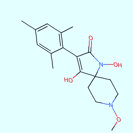 CON1CCC2(CC1)C(O)=C(c1c(C)cc(C)cc1C)C(=O)N2O